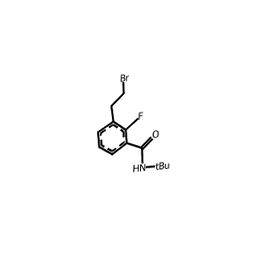 CC(C)(C)NC(=O)c1cccc(CCBr)c1F